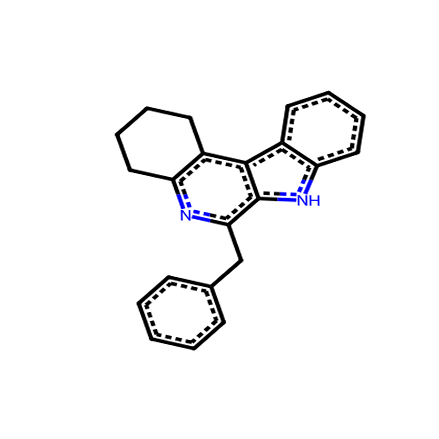 c1ccc(Cc2nc3c(c4c2[nH]c2ccccc24)CCCC3)cc1